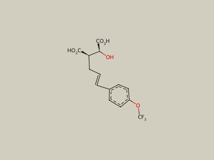 O=C(O)[C@@H](O)[C@@H](C/C=C/c1ccc(OC(F)(F)F)cc1)C(=O)O